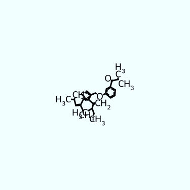 C=C(c1c(COc2cccc(C(=O)C(C)C)c2)csc1/C(=C\C(C)C)CC)C(C)CC